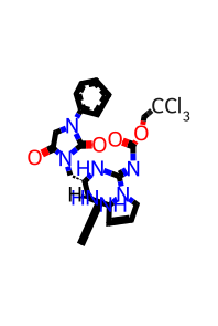 C=C1N[C@H]2[C@H](CN3C(=O)CN(c4ccccc4)C3=O)N/C(=N\C(=O)OCC(Cl)(Cl)Cl)N3CC=C[C@]23N1